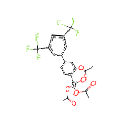 CC(=O)O[Si](OC(C)=O)(OC(C)=O)c1ccc(-c2cc(C(F)(F)F)cc(C(F)(F)F)c2)cc1